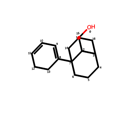 OCC1C2CCCC1(C1=CC=CCC1)CCC2